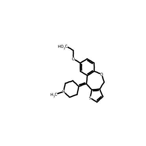 CN1CCC(=C2c3cc(OCC(=O)O)ccc3OCc3ccsc32)CC1